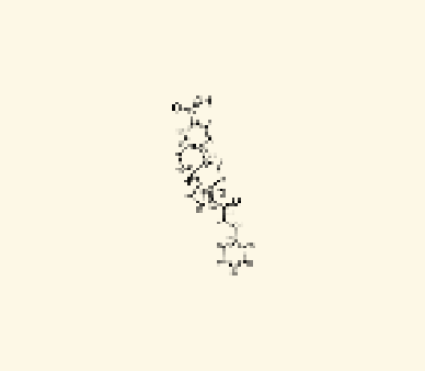 C[C@]12CC[C@@H]3c4ccc(C(=O)O)cc4CC[C@H]3[C@@H]1CC[C@@H]2C(=O)CCc1ccccc1